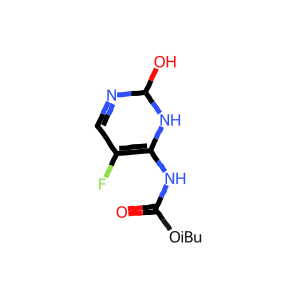 CC(C)COC(=O)NC1=C(F)C=NC(O)N1